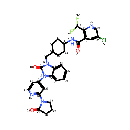 O=C(NC1CCC(Cn2c(=O)n(-c3ccnc(N4CCCC4=O)c3)c3ccccc32)CC1)c1cc(Cl)cnc1C(F)F